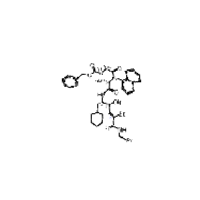 CCCC[C@@H](C(=O)N[C@@H](CC1CCCCC1)[C@@H](O)/C=C(\CC)C(=O)NCC(C)C)N(C(=O)[C@H](C)NC(=O)OCc1ccccc1)c1cccc2ccccc12